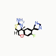 C[C@]12N=C(N)SC[C@H]1COc1cc(F)c(-c3cncnc3)cc12